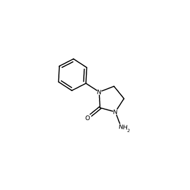 NN1CCN(c2ccccc2)C1=O